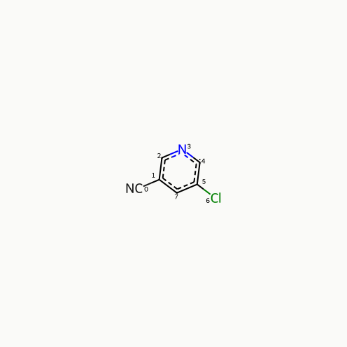 N#Cc1cn[c]c(Cl)c1